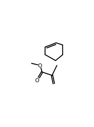 C1=CCCCC1.C=C(C)C(=O)OC